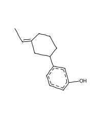 C[C]=C1CCCC(c2cccc(O)c2)C1